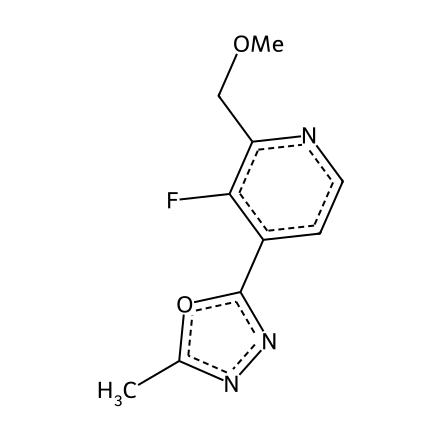 COCc1nccc(-c2nnc(C)o2)c1F